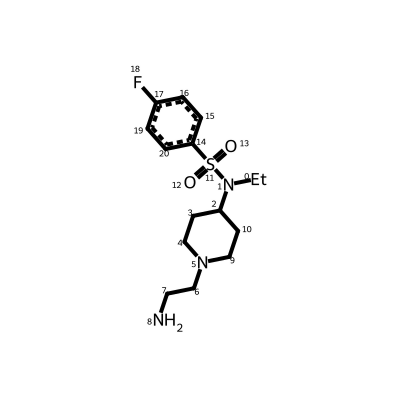 CCN(C1CCN(CCN)CC1)S(=O)(=O)c1ccc(F)cc1